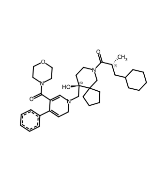 C[C@H](CC1CCCCC1)C(=O)N1CC[C@@](O)(CN2C=C(C(=O)N3CCOCC3)C(c3ccccc3)=CC2)C2(CCCC2)C1